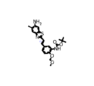 COCOc1ccc(/C=C/c2nc3cc(C)c(N)cc3s2)cc1NC(=O)OC(C)(C)C